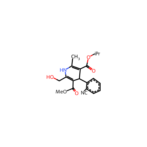 COC(=O)C1=C(CO)NC(C)=C(C(=O)OC(C)C)C1c1ccccc1C#N